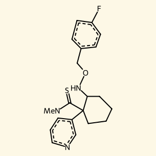 CNC(=S)C1(c2cccnc2)CCCCC1NOCc1ccc(F)cc1